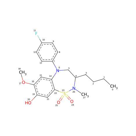 CCCCC1CN(c2ccc(F)cc2)c2cc(OC)c(O)cc2S(=O)(=O)N1C